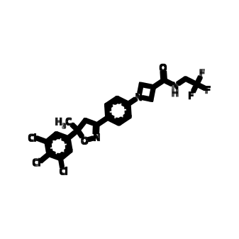 CC1(c2cc(Cl)c(Cl)c(Cl)c2)CC(c2ccc(N3CC(C(=O)NCC(F)(F)F)C3)cc2)=NO1